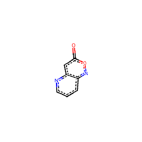 O=c1cc2ncccc2no1